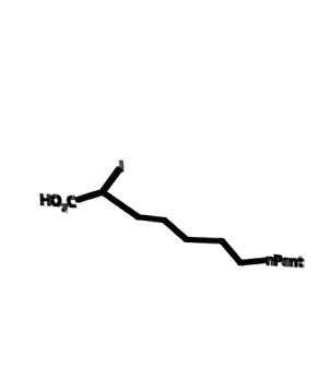 CCCCCCCCCCC(I)C(=O)O